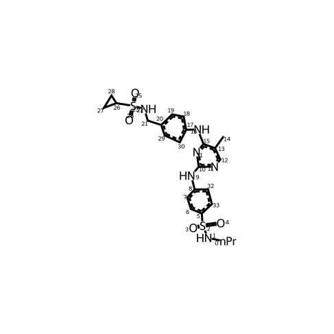 CCCNS(=O)(=O)c1ccc(Nc2ncc(C)c(Nc3ccc(CNS(=O)(=O)C4CC4)cc3)n2)cc1